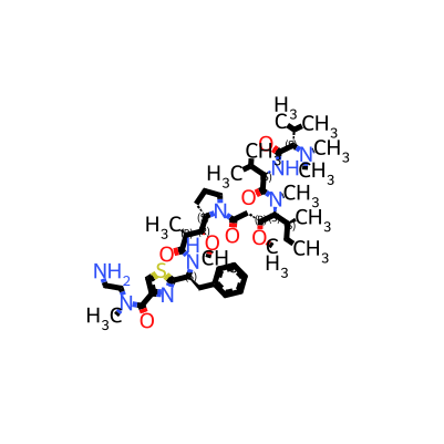 CC[C@H](C)[C@@H]([C@@H](CC(=O)N1CCC[C@H]1[C@H](OC)[C@@H](C)C(=O)N[C@@H](Cc1ccccc1)c1nc(C(=O)N(C)CCN)cs1)OC)N(C)C(=O)[C@@H](NC(=O)[C@H](C(C)C)N(C)C)C(C)C